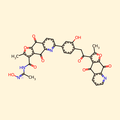 C/C(=N/O)NC(=O)c1c(C)oc2c1C(=O)c1nc(-c3ccc(CC(=O)c4c(C)oc5c4C(=O)c4cccnc4C5=O)c(O)c3)ccc1C2=O